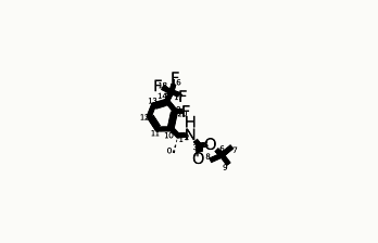 C[C@@H](NC(=O)OC(C)(C)C)c1cccc(C(F)(F)F)c1F